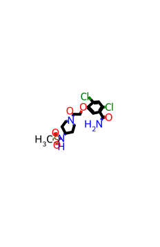 CS(=O)(=O)NC1CCN(C(=O)COc2cc(C(N)=O)c(Cl)cc2Cl)CC1